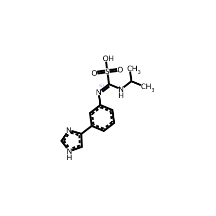 CC(C)N/C(=N\c1cccc(-c2c[nH]cn2)c1)S(=O)(=O)O